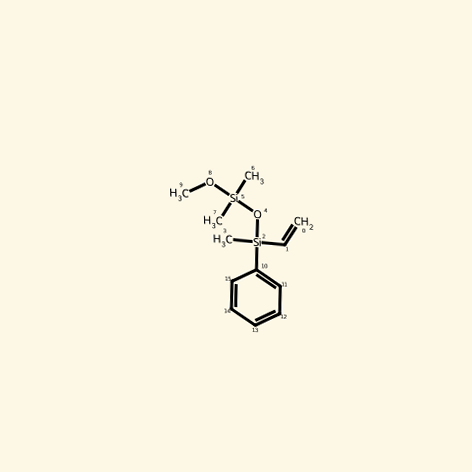 C=C[Si](C)(O[Si](C)(C)OC)c1ccccc1